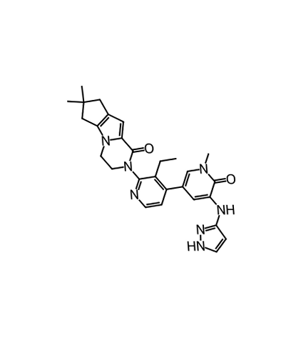 CCc1c(-c2cc(Nc3cc[nH]n3)c(=O)n(C)c2)ccnc1N1CCn2c(cc3c2CC(C)(C)C3)C1=O